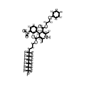 CC1=C(C(=O)OCCCC(F)(F)C(F)(F)C(F)(F)C(F)(F)C(F)(F)C(F)(F)F)C(c2cccc([N+](=O)[O-])c2)C(C(=O)OCCOc2ccccc2)=C(C)N1